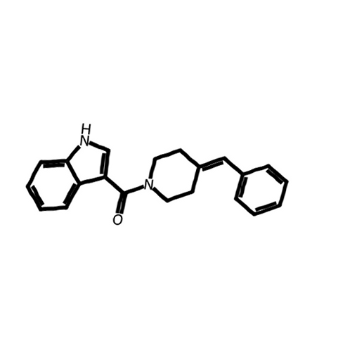 O=C(c1c[nH]c2ccccc12)N1CCC(=Cc2ccccc2)CC1